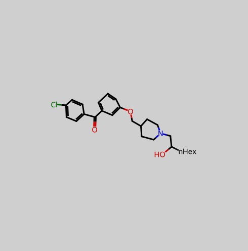 CCCCCCC(O)CN1CCC(COc2cccc(C(=O)c3ccc(Cl)cc3)c2)CC1